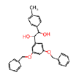 Cc1ccc(C(O)C(O)c2cc(OCc3ccccc3)cc(OCc3ccccc3)c2)cc1